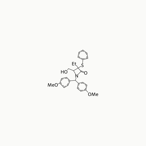 CCC1(Sc2ccccc2)C(=O)N(C(c2ccc(OC)cc2)c2ccc(OC)cc2)C1CO